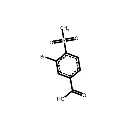 CS(=O)(=O)c1ccc(C(=O)O)cc1Br